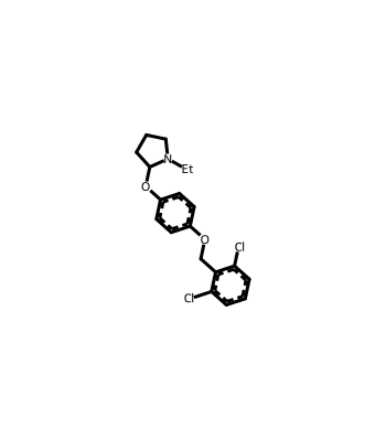 CCN1CCCC1Oc1ccc(OCc2c(Cl)cccc2Cl)cc1